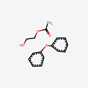 CC(=O)OCCO.c1ccc(Oc2ccccc2)cc1